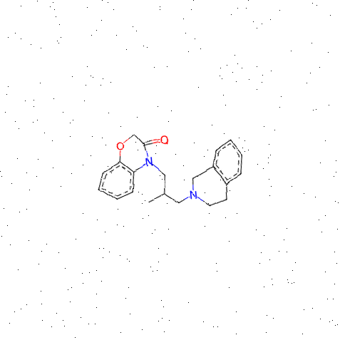 CC(CN1CCc2ccccc2C1)CN1C(=O)COc2ccccc21